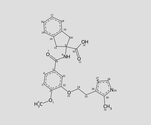 COc1ccc(C(=O)NC2(C(=O)O)Cc3ccccc3C2)cc1OCCc1scnc1C